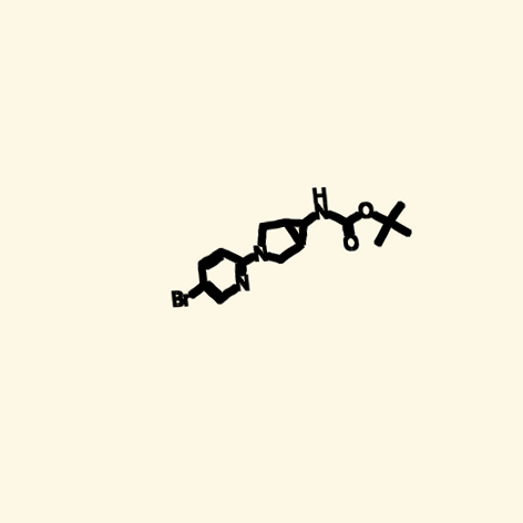 CC(C)(C)OC(=O)NC1C2CN(c3ccc(Br)cn3)CC21